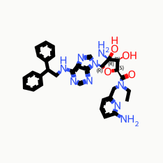 CCN(Cc1cccc(N)n1)C(=O)[C@H]1O[C@@H](n2cnc3c(NCC(c4ccccc4)c4ccccc4)ncnc32)[C@](N)(O)[C@@H]1O